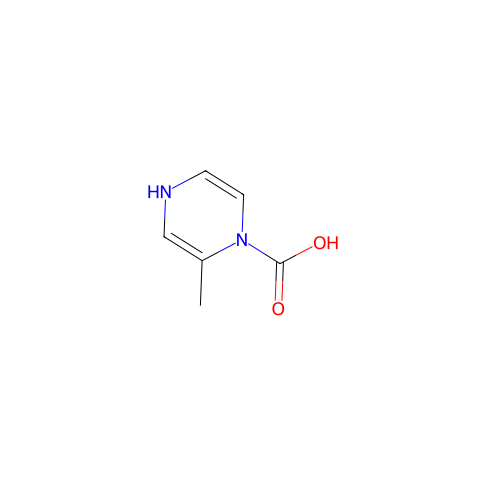 CC1=CNC=CN1C(=O)O